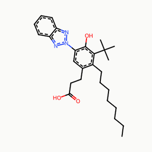 CCCCCCCCc1c(CCC(=O)O)cc(-n2nc3ccccc3n2)c(O)c1C(C)(C)C